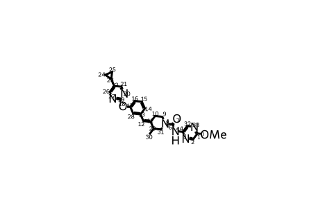 COc1cnc(NC(=O)N2CC/C(=C\c3cccc(Oc4ncc(C5CC5)cn4)c3)C(C)C2)cn1